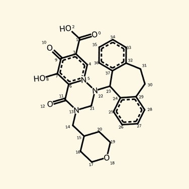 O=C(O)c1cn2c(c(O)c1=O)C(=O)N(CC1CCOCC1)CN2C1c2ccccc2CCc2ccccc21